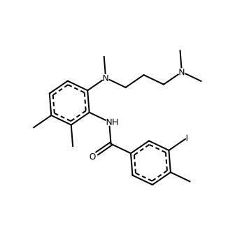 Cc1ccc(C(=O)Nc2c(N(C)CCCN(C)C)ccc(C)c2C)cc1I